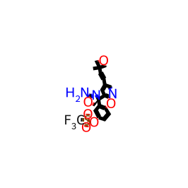 CC1(C#Cc2cnc3c(c2)[C@]2(COC(N)=N2)c2cc(OS(=O)(=O)C(F)(F)F)ccc2O3)COC1